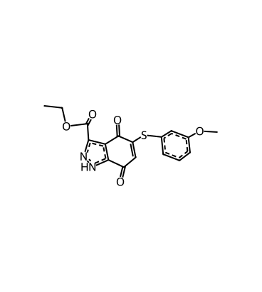 CCOC(=O)c1n[nH]c2c1C(=O)C(Sc1cccc(OC)c1)=CC2=O